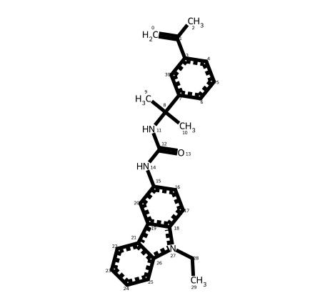 C=C(C)c1cccc(C(C)(C)NC(=O)Nc2ccc3c(c2)c2ccccc2n3CC)c1